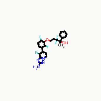 CC(O)(c1ccccc1)C(F)(F)CCOc1c(F)ccc(-c2ccn3nc(N)nc3c2F)c1F